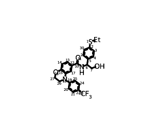 CCSc1ccc(C(CO)NC(=O)c2ccc3c(c2)N(c2ccc(C(F)(F)F)cc2)CCO3)cc1